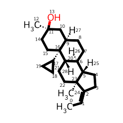 C/C=C1/CC[C@H]2[C@@H]3CC[C@@H]4C[C@](C)(O)CC[C@]4(C4CC4)[C@H]3CC[C@]12C